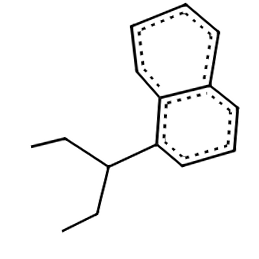 CCC(CC)c1cccc2ccccc12